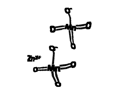 [O]=[Mn](=[O])(=[O])[O-].[O]=[Mn](=[O])(=[O])[O-].[Zn+2]